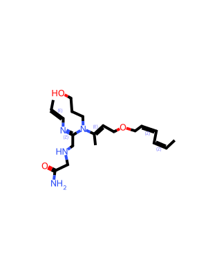 C/C=C\C=C/COC/C=C(\C)N(CCCO)/C(CNCC(N)=O)=N\C=C\C